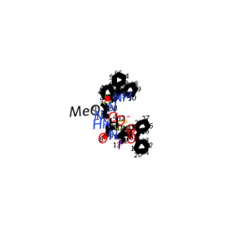 CON=C(C(=O)NC1C(=O)N2CC(CI)(C(=O)OC(c3ccccc3)c3ccccc3)C[S+]([O-])[C@H]12)c1csc(NC(c2ccccc2)(c2ccccc2)c2ccccc2)n1